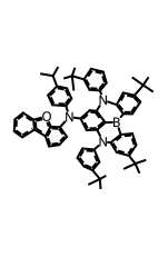 CC(C)c1ccc(N(c2cc3c4c(c2)N(c2cccc(C(C)(C)C)c2)c2cc(C(C)(C)C)ccc2B4c2ccc(C(C)(C)C)cc2N3c2cccc(C(C)(C)C)c2)c2cccc3c2oc2ccccc23)cc1